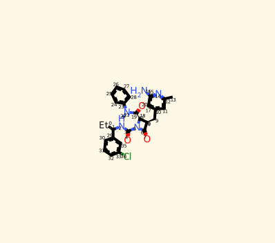 CCC(NC(=O)N1C(=O)[C@H](Cc2cc(C)nc(N)c2)[C@H]1C(=O)N(C)c1ccccc1)c1cccc(Cl)c1